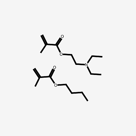 C=C(C)C(=O)OCCCC.C=C(C)C(=O)OCCN(CC)CC